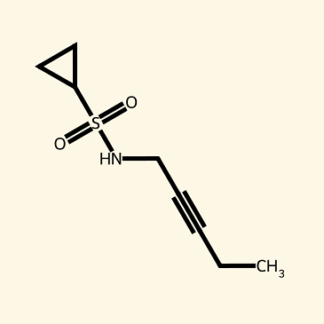 CCC#CCNS(=O)(=O)C1CC1